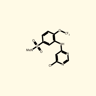 CNS(=O)(=O)c1ccc(OC(F)(F)F)c(Nc2cc(Cl)ncn2)c1